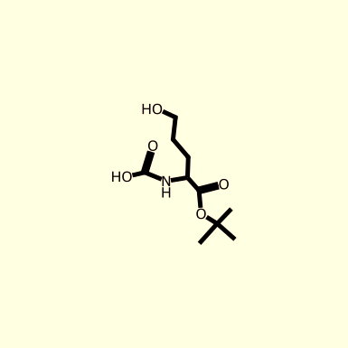 CC(C)(C)OC(=O)C(CCCO)NC(=O)O